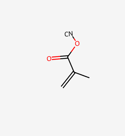 [C-]#[N+]OC(=O)C(=C)C